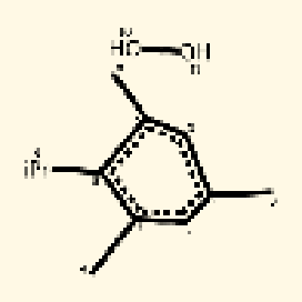 Cc1cc(C)c(C(C)C)c(C)c1.OO